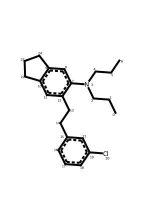 CCCN(CCC)c1cc2c(cc1CCc1cccc(Cl)c1)CCC2